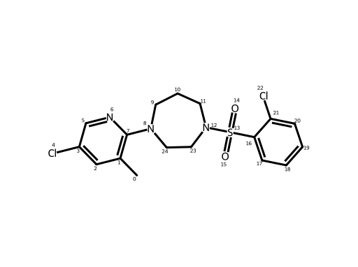 Cc1cc(Cl)cnc1N1CCCN(S(=O)(=O)c2ccccc2Cl)CC1